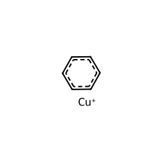 [Cu+].c1ccccc1